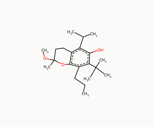 CCCc1c2c(c(C(C)C)c(O)c1C(C)(C)C)CCC(C)(OC)O2